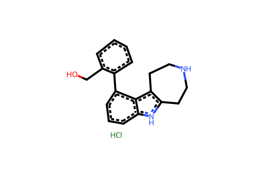 Cl.OCc1ccccc1-c1cccc2[nH]c3c(c12)CCNCC3